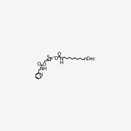 CCCCCCCCCCCCCCCCCCNC(=O)OC[C@@H]1C[C@@H](COC(=O)NCc2ccccn2)S1